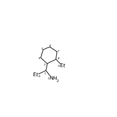 CCC(N)C1CCCCC1CC